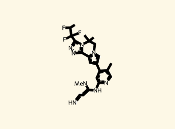 CN/C(=C\C=N)Nc1cc(-c2cc3n(c2)CC(C)(C)n2c-3nnc2C(F)(F)C(C)F)c(C)cn1